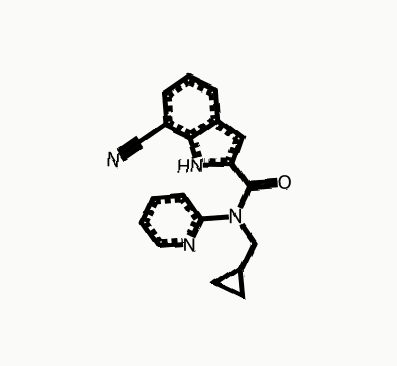 N#Cc1cccc2cc(C(=O)N(CC3CC3)c3ccccn3)[nH]c12